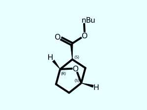 CCCCOC(=O)[C@H]1C[C@@H]2CC[C@H]1O2